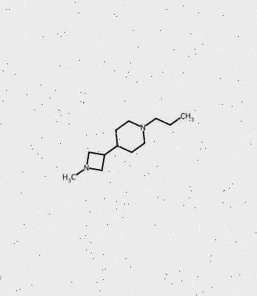 CCCN1CCC(C2CN(C)C2)CC1